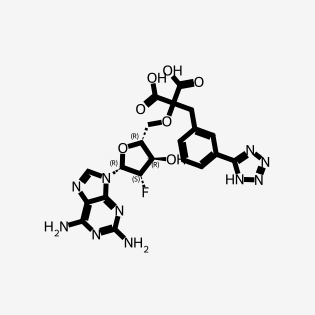 Nc1nc(N)c2ncn([C@@H]3O[C@H](COC(Cc4cccc(-c5nnn[nH]5)c4)(C(=O)O)C(=O)O)[C@@H](O)[C@@H]3F)c2n1